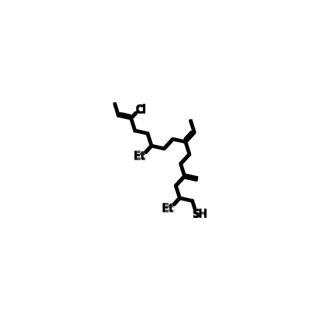 C=C(CC/C(=C/C)CCC(CC)CC/C(Cl)=C/C)CC(CC)CS